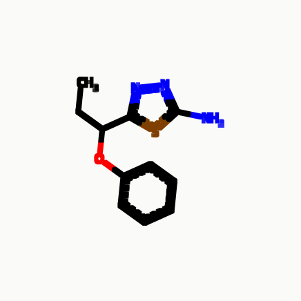 CCC(Oc1ccccc1)c1nnc(N)s1